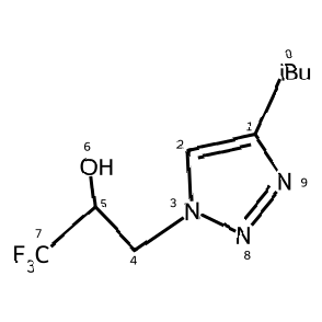 CCC(C)c1cn(CC(O)C(F)(F)F)nn1